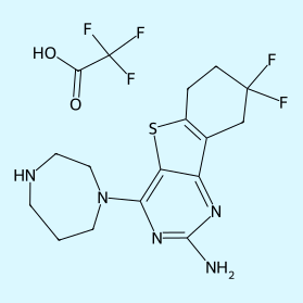 Nc1nc(N2CCCNCC2)c2sc3c(c2n1)CC(F)(F)CC3.O=C(O)C(F)(F)F